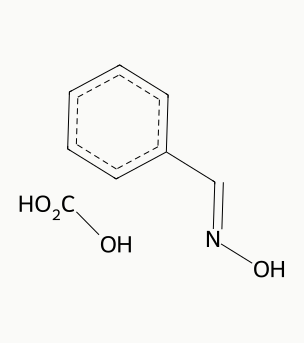 O=C(O)O.ON=Cc1ccccc1